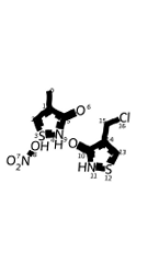 Cc1cs[nH]c1=O.O=[N+]([O-])O.O=c1[nH]scc1CCl